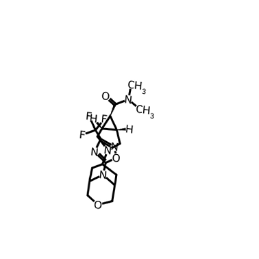 CN(C)C(=O)[C@H]1[C@@H]2CN(C3CC4COCC(C3)N4c3nc(C(F)(F)F)no3)C[C@@H]21